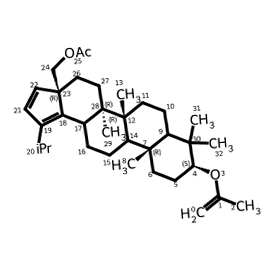 C=C(C)O[C@H]1CC[C@@]2(C)C(CC[C@]3(C)C2CCC2C4=C(C(C)C)C=C[C@]4(COC(C)=O)CC[C@]23C)C1(C)C